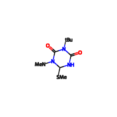 CNN1C(=O)N(C(C)(C)C)C(=O)NC1SC